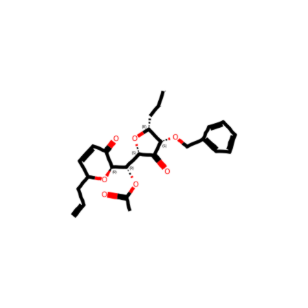 [CH2][CH]C[C@H]1O[C@@H]([C@H](OC(C)=O)[C@H]2OC(CC=C)C=CC2=O)C(=O)[C@H]1OCc1ccccc1